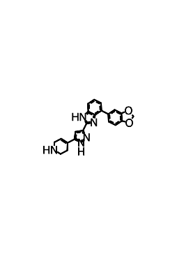 C1=C(c2cc(-c3nc4c(-c5ccc6c(c5)OCO6)cccc4[nH]3)n[nH]2)CCNC1